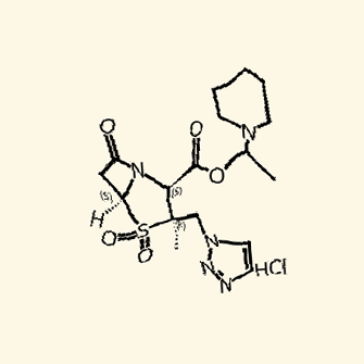 CC(OC(=O)[C@@H]1N2C(=O)C[C@@H]2S(=O)(=O)[C@]1(C)Cn1ccnn1)N1CCCCC1.Cl